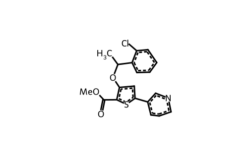 COC(=O)c1sc(-c2cccnc2)cc1OC(C)c1ccccc1Cl